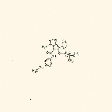 COCc1ccc(NC(=O)c2c(OCCC(C)(C)OC)n(C3(C)CC3)c3ncnc(N)c23)cc1